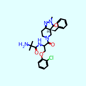 CN1N=C2CCN(C(=O)C(COc3ccccc3Cl)NC(=O)C(C)(C)N)C[C@@]2(Cc2ccccc2)C1=O